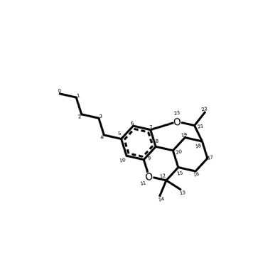 CCCCCc1cc2c3c(c1)OC(C)(C)C1CCC(CC31)C(C)O2